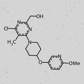 COc1ccc(OC2CCN(c3nc(CO)nc(Cl)c3C)CC2)cn1